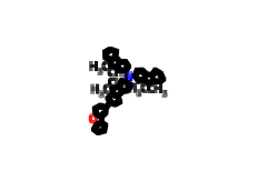 CC1(C)c2ccccc2-c2ccc(N(c3ccc4c(c3)C(C)(C)c3ccccc3-4)c3ccc4c(c3)C(C)(C)c3cc(-c5ccc6oc7ccccc7c6c5)ccc3-4)cc21